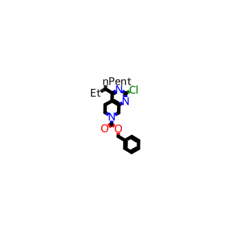 CCCCCC(CC)c1nc(Cl)nc2c1CCN(C(=O)OCc1ccccc1)C2